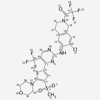 CS(=O)(=O)c1cc(-c2nc(Nc3cc4c(cc3Cl)CN(C(=O)C(F)(F)F)CC4)ncc2C(F)(F)F)sc1N1CCOCC1